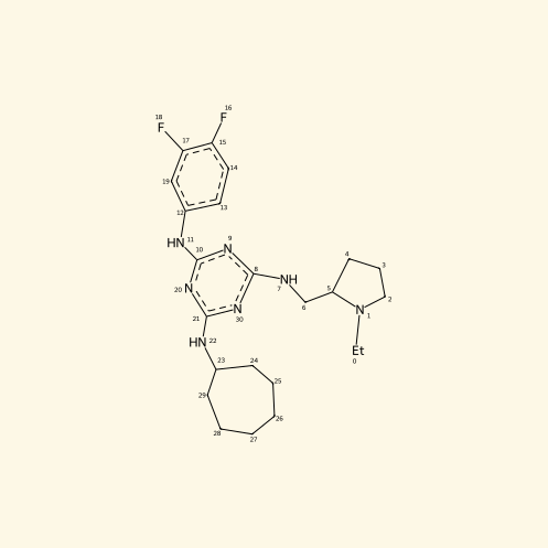 CCN1CCCC1CNc1nc(Nc2ccc(F)c(F)c2)nc(NC2CCCCCC2)n1